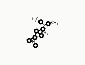 Cc1ccc(N(c2ccc(C)cc2)c2ccc(C)c(-c3cccc(-c4ccc5c(c4)c4ccccc4n5-c4ccccc4)c3-c3ccccc3)c2)cc1